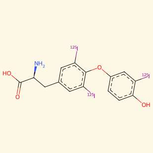 N[C@@H](Cc1cc([125I])c(Oc2ccc(O)c([125I])c2)c([125I])c1)C(=O)O